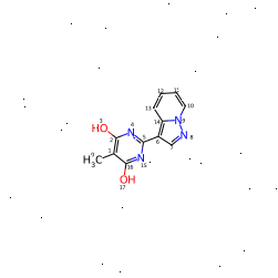 Cc1c(O)nc(-c2cnn3ccccc23)nc1O